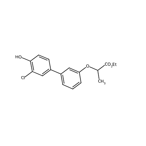 CCOC(=O)C(C)Oc1cccc(-c2ccc(O)c(Cl)c2)c1